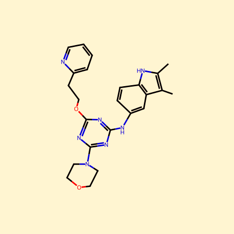 Cc1[nH]c2ccc(Nc3nc(OCCc4ccccn4)nc(N4CCOCC4)n3)cc2c1C